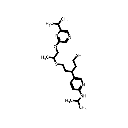 CC(C)Nc1ccc(C(CCS)CCSC(C)COc2cncc(C(C)C)n2)cn1